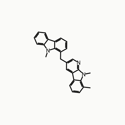 Cc1cccc2c3cc(Cc4cccc5c6ccccc6n(C)c45)cnc3n(C)c12